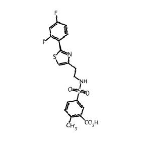 Cc1ccc(S(=O)(=O)NCCc2csc(-c3ccc(F)cc3F)n2)cc1C(=O)O